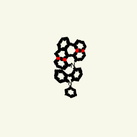 c1ccc(-c2cccc3cccc(-c4ccccc4N(c4ccccc4)c4cccc5c4c4ccccc4n5-c4ccccc4)c23)cc1